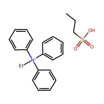 CCCS(=O)(=O)O.CC[N+](c1ccccc1)(c1ccccc1)c1ccccc1